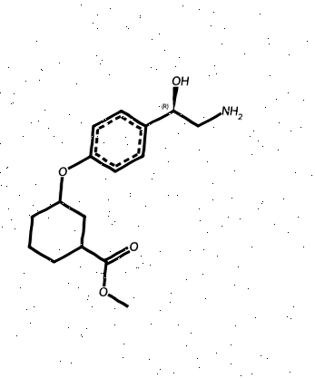 COC(=O)C1CCCC(Oc2ccc([C@@H](O)CN)cc2)C1